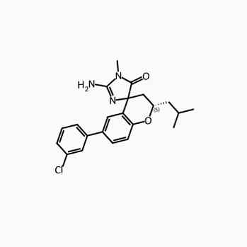 CC(C)C[C@H]1CC2(N=C(N)N(C)C2=O)c2cc(-c3cccc(Cl)c3)ccc2O1